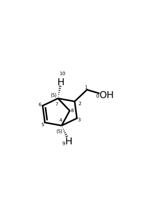 OCC1C[C@H]2C=C[C@@H]1C2